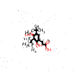 CC(C)(C)c1cc(/C=C/C(=O)O)c(O)c(C(C)(C)C)c1O